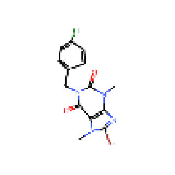 Cn1c(Br)nc2c1c(=O)n(Cc1ccc(Cl)cc1)c(=O)n2C